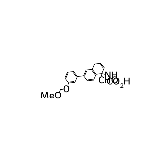 COCOc1cccc(-c2ccc3c(c2)CC=C[C@]3(C=O)NC(=O)O)c1